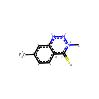 Cn1nnc2cc(C(F)(F)F)ccc2c1=S